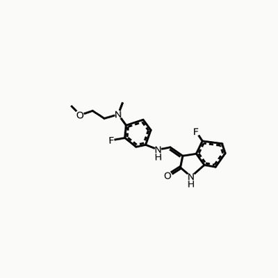 COCCN(C)c1ccc(NC=C2C(=O)Nc3cccc(F)c32)cc1F